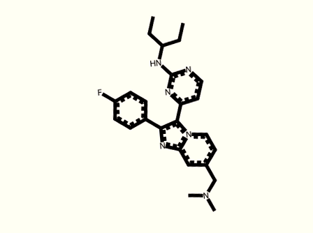 CCC(CC)Nc1nccc(-c2c(-c3ccc(F)cc3)nc3cc(CN(C)C)ccn23)n1